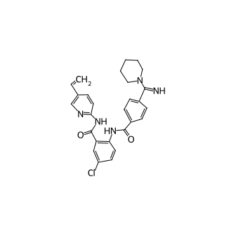 C=Cc1ccc(NC(=O)c2cc(Cl)ccc2NC(=O)c2ccc(C(=N)N3CCCCC3)cc2)nc1